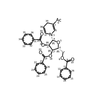 CC(=O)C1=CN([C@@H]2O[C@H](COC(=O)c3ccccc3)[C@@H](OC(=O)c3ccccc3)[C@H]2OC(=O)c2ccccc2)C=CC1